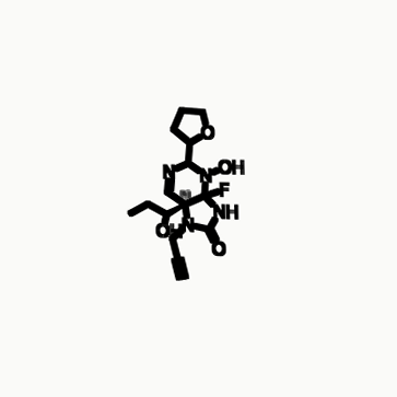 C#CCN1C(=O)NC2(F)N(O)C(C3CCCO3)N=C[C@@]12C(O)CC